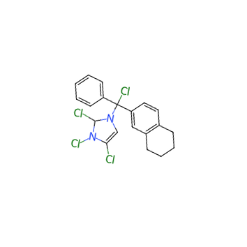 ClC1=CN(C(Cl)(c2ccccc2)c2ccc3c(c2)CCCC3)C(Cl)N1Cl